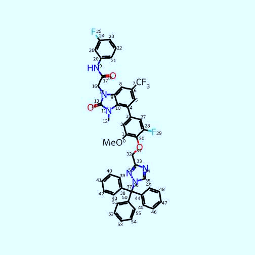 COc1cc(-c2cc(C(F)(F)F)cc3c2n(C)c(=O)n3CC(=O)Nc2cccc(F)c2)cc(F)c1OCc1ncn(C(c2ccccc2)(c2ccccc2)c2ccccc2)n1